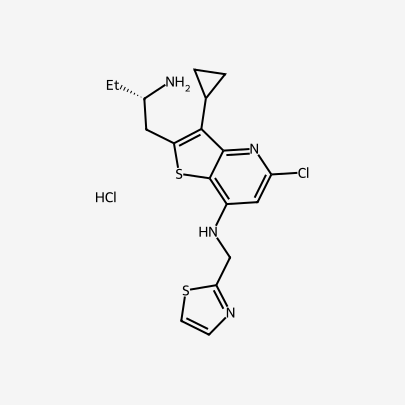 CC[C@H](N)Cc1sc2c(NCc3nccs3)cc(Cl)nc2c1C1CC1.Cl